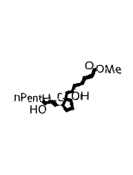 CCCCCC(O)CC[C@H]1CC[C@H](O)[C@]1(C)CCCCC=CC(=O)OC